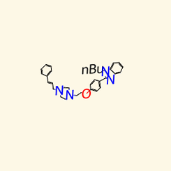 CCCCn1c(-c2ccc(OCCN3CCN(CC=Cc4ccccc4)CC3)cc2)nc2ccccc21